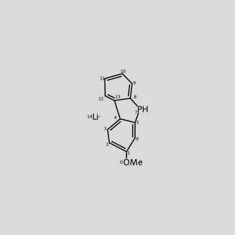 COc1ccc2c(c1)[pH]c1ccccc12.[Li]